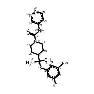 CC(C)(Sc1cc(F)cc(F)c1)C1CCN(C(=O)Nc2ccnnc2)CC1